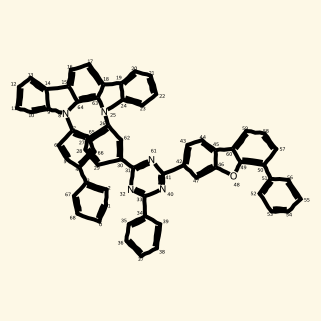 c1ccc(-c2ccc(-n3c4ccccc4c4ccc5c6ccccc6n(-c6cccc(-c7nc(-c8ccccc8)nc(-c8ccc9c(c8)oc8c(-c%10ccccc%10)cccc89)n7)c6)c5c43)cc2)cc1